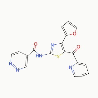 O=C(Nc1nc(-c2ccco2)c(C(=O)c2ccccn2)s1)c1ccnnc1